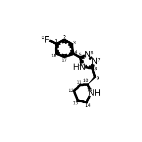 Fc1ccc(-c2nnc(C[C@@H]3CCCCN3)[nH]2)cc1